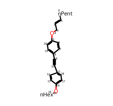 CCCCCC=CCOc1ccc(C#Cc2ccc(OCCCCCC)cc2)cc1